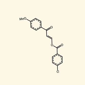 COc1ccc(C(=O)/C=C/OC(=O)c2ccc(Cl)cc2)cc1